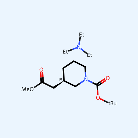 CCN(CC)CC.COC(=O)C[C@H]1CCCN(C(=O)OC(C)(C)C)C1